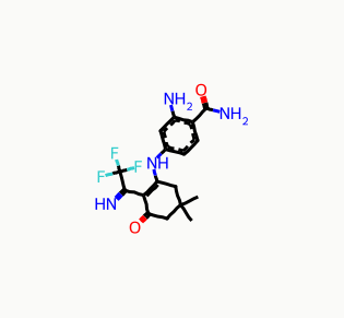 CC1(C)CC(=O)C(C(=N)C(F)(F)F)=C(Nc2ccc(C(N)=O)c(N)c2)C1